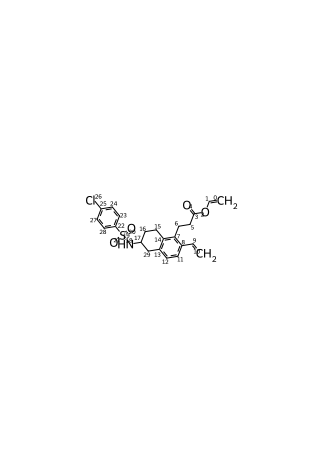 C=COC(=O)CCc1c(C=C)ccc2c1CCC(NS(=O)(=O)c1ccc(Cl)cc1)C2